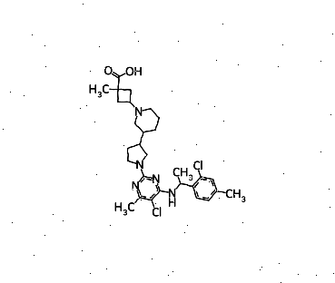 Cc1ccc(C(C)Nc2nc(N3CCC(C4CCCN(C5CC(C)(C(=O)O)C5)C4)C3)nc(C)c2Cl)c(Cl)c1